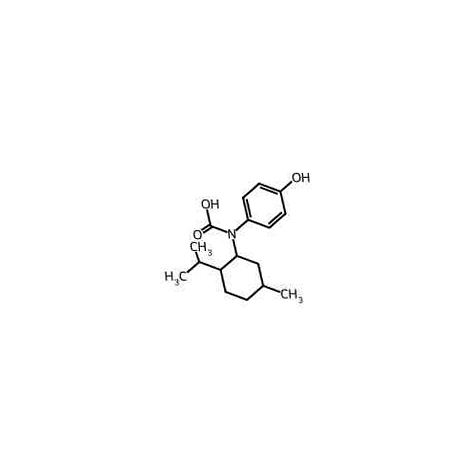 CC1CCC(C(C)C)C(N(C(=O)O)c2ccc(O)cc2)C1